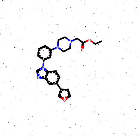 CCOC(=O)CN1CCN(c2cccc(-n3cnc4cc(-c5ccoc5)ccc43)c2)CC1